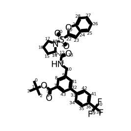 CC(C)(C)OC(=O)c1cc(CNC(=O)[C@@H]2CCCN2S(=O)(=O)c2cc3ccccc3o2)cc(-c2ccc(C(F)(F)F)cc2)c1